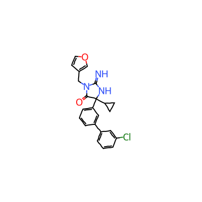 N=C1NC(c2cccc(-c3cccc(Cl)c3)c2)(C2CC2)C(=O)N1Cc1ccoc1